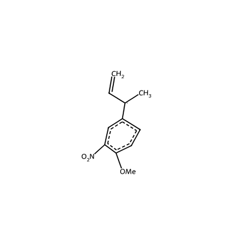 C=C[C](C)c1ccc(OC)c([N+](=O)[O-])c1